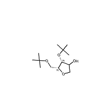 CC(C)(C)OC[C@H]1OCC(O)[C@H]1OC(C)(C)C